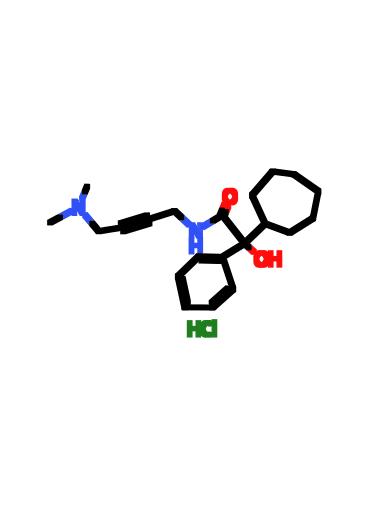 CN(C)CC#CCNC(=O)C(O)(c1ccccc1)C1CCCCCC1.Cl